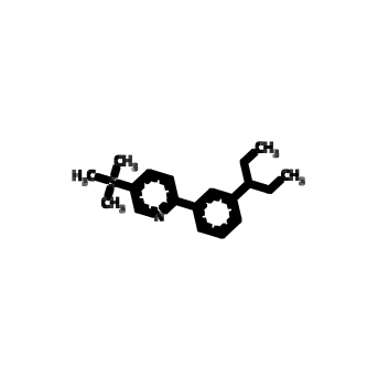 CCC(CC)c1cccc(-c2ccc(S(C)(C)C)cn2)c1